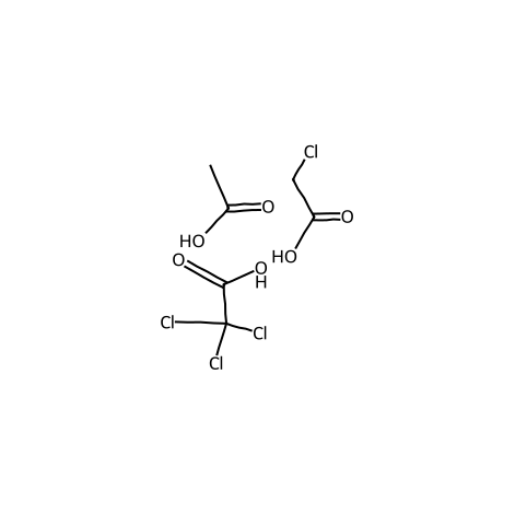 CC(=O)O.O=C(O)C(Cl)(Cl)Cl.O=C(O)CCl